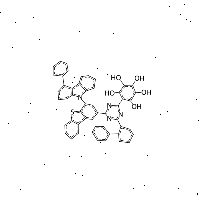 Oc1c(O)c(O)c(-c2nc(-c3cc(-n4c5ccccc5c5c(-c6ccccc6)cccc54)c4sc5ccccc5c4c3)nc(-c3ccccc3-c3ccccc3)n2)c(O)c1O